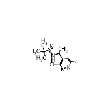 CC(N[S@+]([O-])C(C)(C)C)c1cc(Cl)nnc1Cl